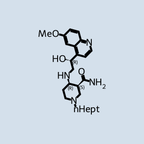 CCCCCCCN1CC[C@@H](NC[C@H](O)c2ccnc3ccc(OC)cc23)[C@@H](C(N)=O)C1